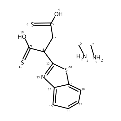 CN.CN.OC(=S)CC(C(O)=S)c1nc2ccccc2s1